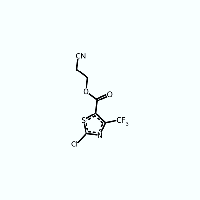 N#CCCOC(=O)c1sc(Cl)nc1C(F)(F)F